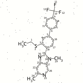 CCSc1cc(-c2ccc(C(F)(F)F)cc2)ccc1-c1nc2cc(C)ncc2n1C